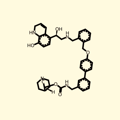 O=C(NCc1cccc(-c2ccc(OCc3ccccc3CNC[C@H](O)c3ccc(O)c4c3C=CCN4)cc2)c1)O[C@H]1CN2CCC1CC2